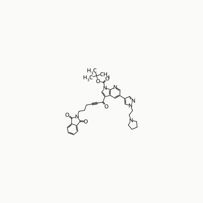 CC(C)(C)OC(=O)n1cc(C(=O)C#CCCCN2C(=O)c3ccccc3C2=O)c2cc(-c3cnn(CCN4CCCC4)c3)cnc21